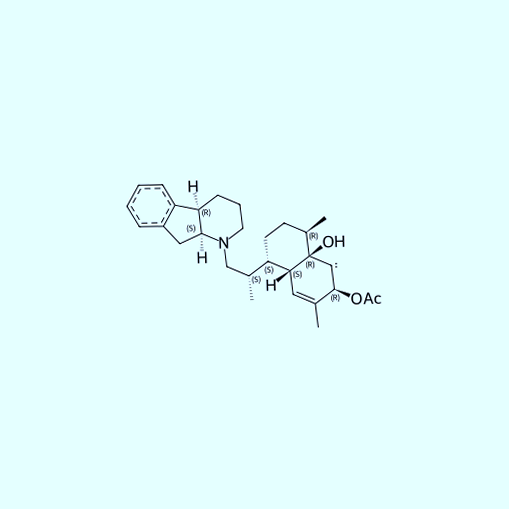 CC(=O)O[C@@H]1[C][C@@]2(O)[C@H](C)CC[C@@H]([C@H](C)CN3CCC[C@@H]4c5ccccc5C[C@@H]43)[C@H]2C=C1C